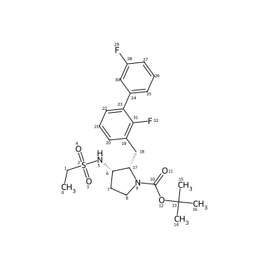 CCS(=O)(=O)N[C@H]1CCN(C(=O)OC(C)(C)C)[C@H]1Cc1cccc(-c2cccc(F)c2)c1F